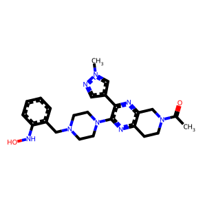 CC(=O)N1CCc2nc(N3CCN(Cc4ccccc4NO)CC3)c(-c3cnn(C)c3)nc2C1